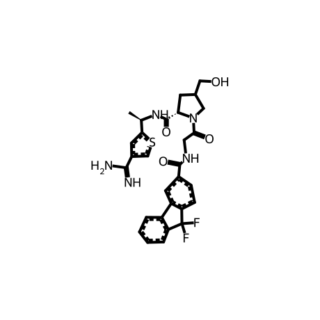 C[C@@H](NC(=O)[C@@H]1CC(CO)CN1C(=O)CNC(=O)c1ccc2c(c1)-c1ccccc1C2(F)F)c1cc(C(=N)N)cs1